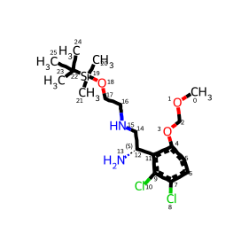 COCOc1ccc(Cl)c(Cl)c1[C@H](N)CNCCO[Si](C)(C)C(C)(C)C